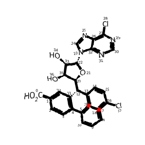 O=C(O)c1ccc(-c2ccccc2)c([C@@H](c2ccc(Cl)cc2)[C@@H]2O[C@@H](n3cnc4c(Cl)ncnc43)[C@H](O)[C@@H]2O)c1